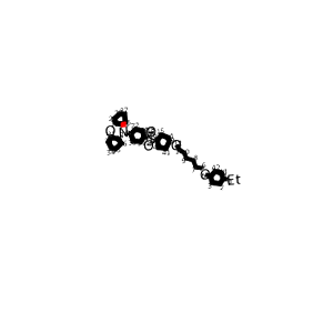 CCc1ccc(OCCCCCCOc2ccc(S(=O)(=O)c3ccc(N4c5ccccc5Oc5ccccc54)cc3)cc2)cc1